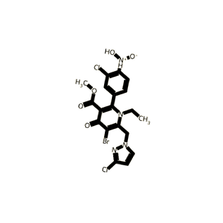 CCn1c(Cn2ccc(Cl)n2)c(Br)c(=O)c(C(=O)OC)c1-c1ccc([NH+]([O-])O)c(Cl)c1